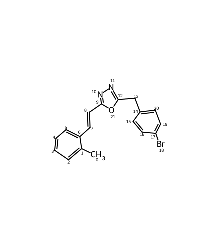 Cc1ccccc1/C=C/c1nnc(Cc2ccc(Br)cc2)o1